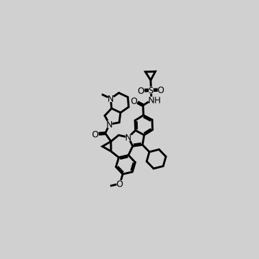 COc1ccc2c(c1)C1CC1(C(=O)N1CC3CCCN(C)C3C1)Cn1c-2c(C2CCCCC2)c2ccc(C(=O)NS(=O)(=O)C3CC3)cc21